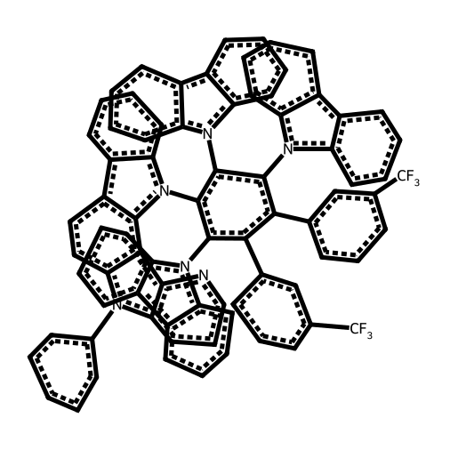 FC(F)(F)c1cccc(-c2c(-c3cccc(C(F)(F)F)c3)c(-n3c4ccccc4c4ccccc43)c(-n3c4ccccc4c4ccc5c(c6ncccc6n5-c5ccccc5)c43)c(-n3c4ccccc4c4ccccc43)c2-n2c3ccccc3c3ccccc32)c1